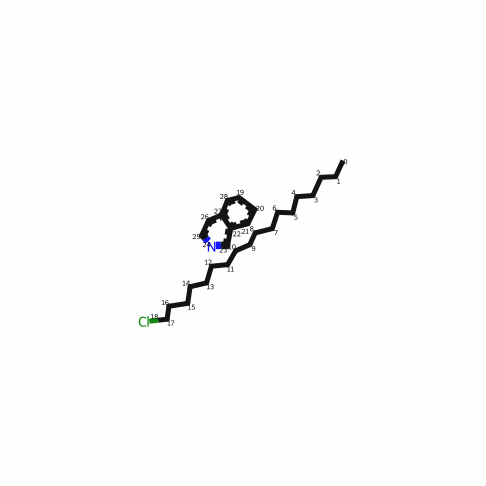 CCCCCCCCCCCCCCCCCCCl.c1ccc2cnccc2c1